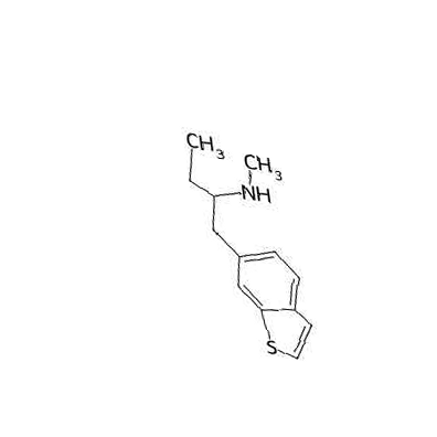 CCC(Cc1ccc2ccsc2c1)NC